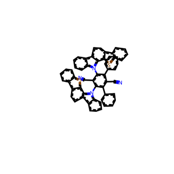 N#Cc1c(-c2ccccc2)c(-n2c3ccccc3c3ccc4c5ccccc5sc4c32)c(C#N)c(-n2c3ccccc3c3ccc4c5ccccc5sc4c32)c1-c1ccccc1